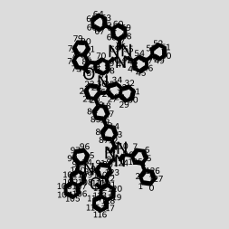 c1ccc(-c2cccc(-c3nc(-c4ccc(-c5ccc(-c6cccc7c6c6cc8ccccc8cc6n7-c6cc(-c7nc(-c8cccc(-c9ccccc9)c8)nc(-c8cccc(-c9ccccc9)c8)n7)cc7c6oc6ccc8ccccc8c67)cc5)cc4)nc(-c4cc(-n5c6ccccc6c6cc7ccccc7cc65)c5oc6c7ccccc7ccc6c5c4)n3)c2)cc1